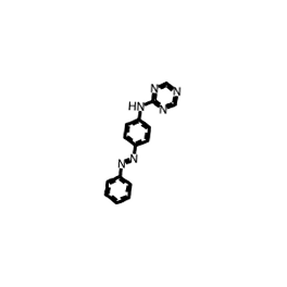 c1ccc(N=Nc2ccc(Nc3ncncn3)cc2)cc1